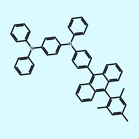 Cc1cc(C)c(-c2c3ccccc3c(-c3ccc(N(c4ccccc4)c4ccc(N(c5ccccc5)c5ccccc5)cc4)cc3)c3ccccc23)c(C)c1